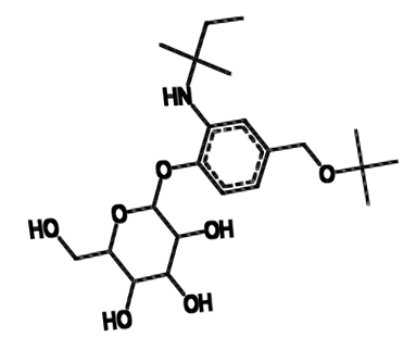 CCC(C)(C)Nc1cc(COC(C)(C)C)ccc1OC1OC(CO)C(O)C(O)C1O